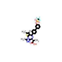 Cc1sc2c(c1C)C(c1ccc(-c3cccc(OS(=O)(=O)C(F)(F)F)c3)cc1)=N[C@@H](C(C)C(=O)O)c1nnc(C)n1-2